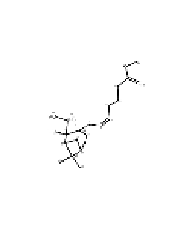 COC(=O)CCC/C=C\C[C@H]1CC2CC([C@@H]1CO)C2(C)C